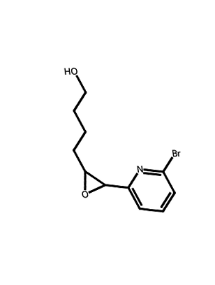 OCCCCC1OC1c1cccc(Br)n1